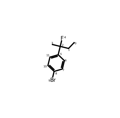 CCC(C)(F)c1ccc(Br)cc1